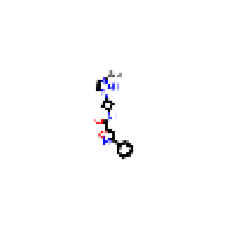 CC(C)(C)N1C=CN(C2CC(NC(=O)c3cc(-c4ccccc4)no3)C2)N1